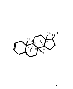 C[C@]12CC=CCC1CC[C@@H]1[C@@H]2CC[C@]2(C)C(O)CC[C@@H]12